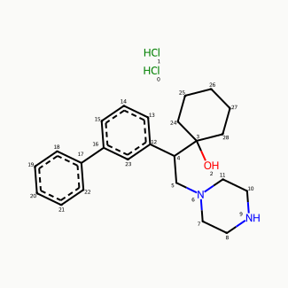 Cl.Cl.OC1(C(CN2CCNCC2)c2cccc(-c3ccccc3)c2)CCCCC1